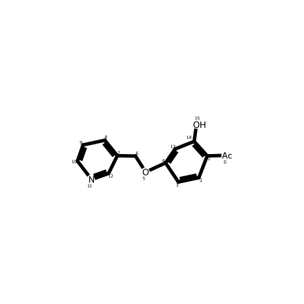 CC(=O)c1ccc(OCc2cccnc2)cc1O